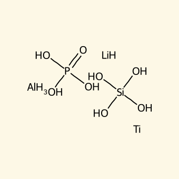 O=P(O)(O)O.O[Si](O)(O)O.[AlH3].[LiH].[Ti]